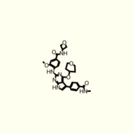 CNC(=O)c1ccc(-c2c[nH]c3nc(Nc4ccc(C(=O)NC5COC5)cc4OC)nc(OC4CCOCC4)c23)cc1